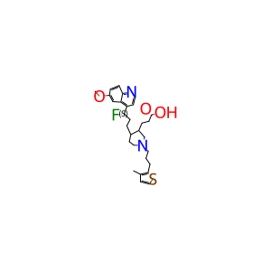 COc1ccc2nccc([C@@H](F)CCC3CCN(CCCc4sccc4C)CC3CCC(=O)O)c2c1